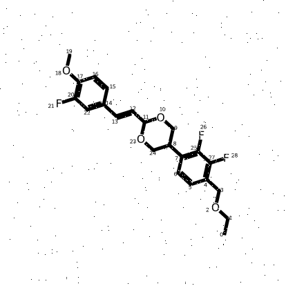 CCOCc1ccc(C2COC(/C=C/c3ccc(OC)c(F)c3)OC2)c(F)c1F